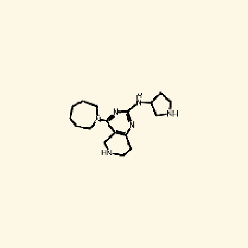 C1CCCN(c2nc(NC3CCNC3)nc3c2CNCC3)CC1